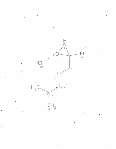 CCC1(CCCN(C)C)NO1.Cl